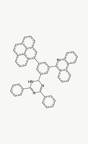 c1ccc(C2=NC(c3cc(-c4nc5ccccc5c5ccccc45)cc(-c4cc5cccc6ccc7cccc4c7c65)c3)NC(c3ccccc3)=N2)cc1